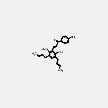 CC=CCc1cc(CC=CC)c(OC)c(C=CC(=O)c2ccc(N)cc2)c1O